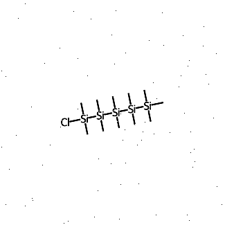 C[Si](C)(C)[Si](C)(C)[Si](C)(C)[Si](C)(C)[Si](C)(C)Cl